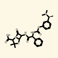 C[C@@H](c1cccc(OC(=O)NC(C(=O)NC2C(=O)N3C2SC(C)(C)C3C(=O)O)c2ccccc2)c1)N(C)C